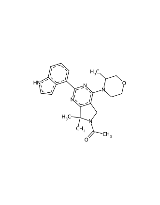 CC(=O)N1Cc2c(N3CCOCC3C)nc(-c3cccc4[nH]ccc34)nc2C1(C)C